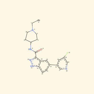 CC(C)CN1CCC(NC(=O)c2n[nH]c3ccc(-c4cncc(F)c4)cc23)CC1